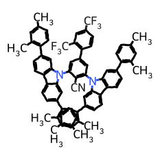 Cc1ccc(-c2ccc3c4ccc(-c5ccc(C)cc5C)cc4n(-c4cc(-c5ccc(C(F)(F)F)cc5C(F)(F)F)cc(-n5c6cc(-c7ccc(C)cc7C)ccc6c6ccc(-c7ccc(C)cc7C)cc65)c4C#N)c3c2)c(C)c1